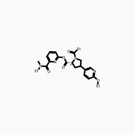 CCOc1ccc(C2C[C@H](C(=O)Oc3cccc(C(=O)N(C)CC)n3)N(C(=O)CC)C2)cn1